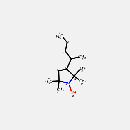 CCCC(C)C1CC(C)(C)N(O)C1(C)C